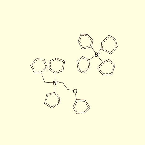 c1ccc(C[N+](CCOc2ccccc2)(c2ccccc2)c2ccccc2)cc1.c1ccc([B-](c2ccccc2)(c2ccccc2)c2ccccc2)cc1